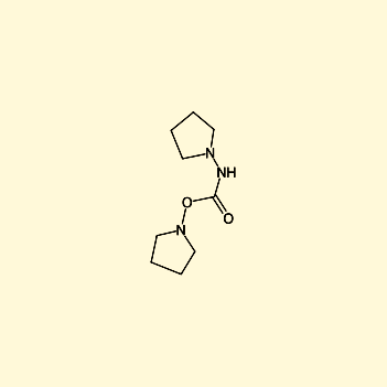 O=C(NN1CCCC1)ON1CCCC1